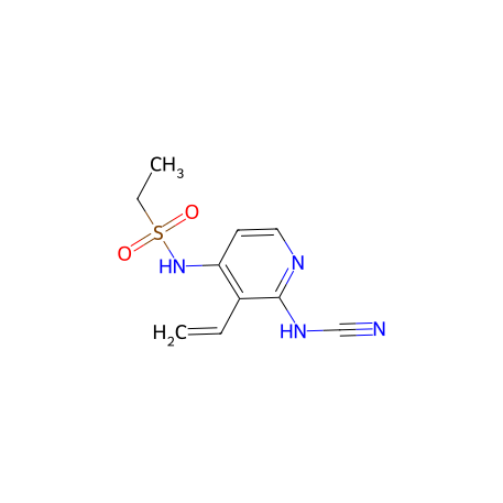 C=Cc1c(NS(=O)(=O)CC)ccnc1NC#N